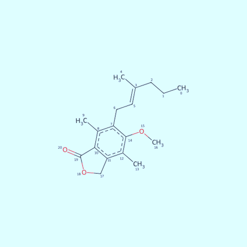 CCC/C(C)=C/Cc1c(C)c2c(c(C)c1OC)COC2=O